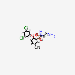 N#Cc1ccc(Oc2cc(Cl)cc(Cl)c2)c(S(=O)(=O)NCCN)c1